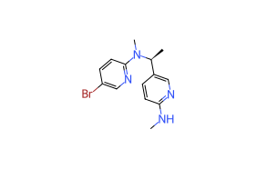 CNc1ccc([C@H](C)N(C)c2ccc(Br)cn2)cn1